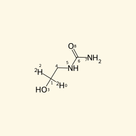 [2H]C([2H])(O)CNC(N)=O